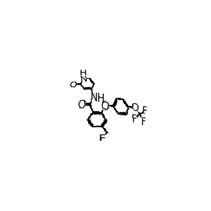 O=C(Nc1cc[nH]c(=O)c1)c1ccc(CF)cc1Oc1ccc(OC(F)(F)F)cc1